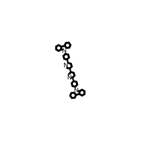 c1ccc2c(c1)c1ccccc1n2-c1ccc(-c2ccc(-c3ccc(-c4ccc(-n5c6ccccc6c6ccccc65)cc4)nc3)cn2)cc1